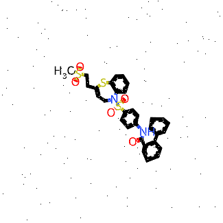 CS(=O)(=O)CCC1=CCN(S(=O)(=O)c2ccc(NC(=O)c3ccccc3-c3ccccc3)cc2)c2ccccc2S1